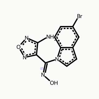 Nc1nonc1/C(=N/O)n1ccc2cc(Br)ccc21